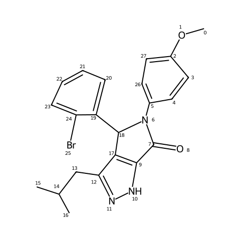 COc1ccc(N2C(=O)c3[nH]nc(CC(C)C)c3C2c2ccccc2Br)cc1